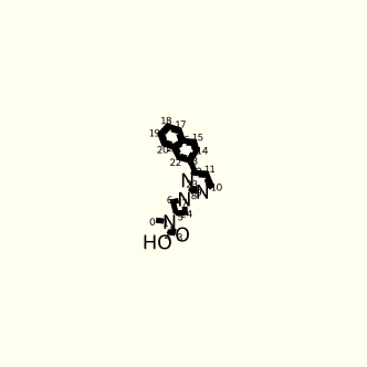 CN(C(=O)O)C1CN(c2nccc(-c3ccc4ccccc4c3)n2)C1